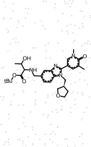 Cc1cc(-c2nc3cc(CNC(C(=O)OC(C)(C)C)C(C)O)ccc3n2C[C@H]2CCOC2)cn(C)c1=O